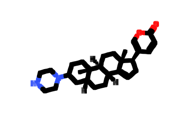 C[C@]12CCC(N3CCNCC3)C[C@H]1CC[C@H]1C3=CC[C@H](c4ccc(=O)oc4)[C@@]3(C)CC[C@@H]12